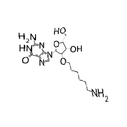 NCCCCCCO[C@H]1[C@@H](O)[C@@H](CO)O[C@H]1n1cnc2c(=O)[nH]c(N)nc21